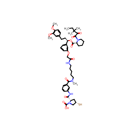 CCC(C)(C)C(=O)C(=O)N1CCCC[C@H]1C(=O)O[C@H](CCc1ccc(OC)c(OC)c1)c1cccc(OCC(=O)NCCCCCN(C)C(=O)c2cccc(NC(=O)[C@@H]3C[C@H](S)CN3C(=O)O)c2)c1